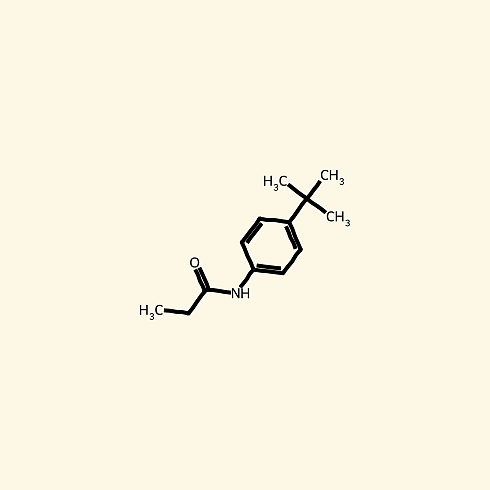 CCC(=O)Nc1ccc(C(C)(C)C)cc1